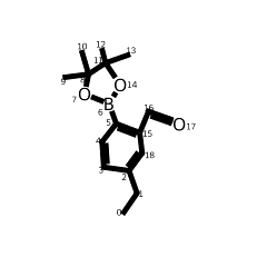 CCc1ccc(B2OC(C)(C)C(C)(C)O2)c(C=O)c1